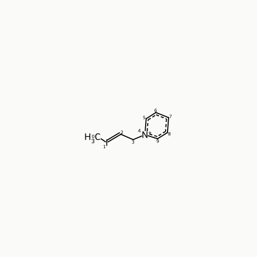 CI=CC[n+]1ccccc1